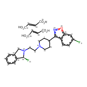 Fc1ccc2c(C3CCN(CCN4Cc5ccccc5[C@@H]4F)CC3)noc2c1.O=C(O)/C=C/C(=O)O.O=C(O)/C=C/C(=O)O